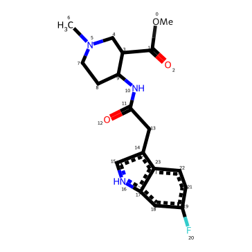 COC(=O)C1CN(C)CCC1NC(=O)Cc1c[nH]c2cc(F)ccc12